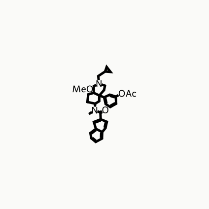 COC12CCC(N(C)C(=O)c3ccc4ccccc4c3)CC1(c1cccc(OC(C)=O)c1)CCN(CC1CC1)C2